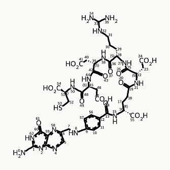 Nc1nc2ncc(CNc3ccc(C(=O)N[C@H](CCC(=O)N[C@@H](CC(=O)O)C(=O)N[C@@H](CCCNC(N)N)C(=O)N[C@@H](CC(=O)O)C(=O)N[C@@H](CC(=O)O)C(=O)N[C@@H](CS)C(=O)O)C(=O)O)cc3)nc2c(=O)[nH]1